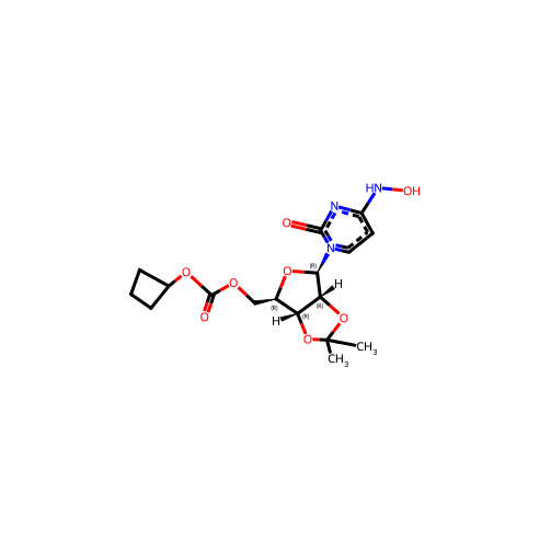 CC1(C)O[C@@H]2[C@H](O1)[C@@H](COC(=O)OC1CCC1)O[C@H]2n1ccc(NO)nc1=O